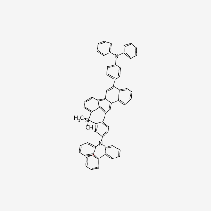 C[Si]1(C)c2cc(N(c3ccccc3)c3ccccc3-c3ccccc3)ccc2-c2cc3c4ccccc4c(-c4ccc(N(c5ccccc5)c5ccccc5)cc4)cc3c3cccc1c23